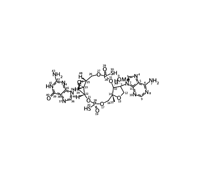 CO[C@]1(n2cnc3c(N)ncnc32)CO[C@]2(C)COP(=O)(S)O[C@H]3[C@H](F)[C@@H](COP(=O)(S)O[C@H]21)O[C@H]3n1cnc2c(=O)[nH]c(N)nc21